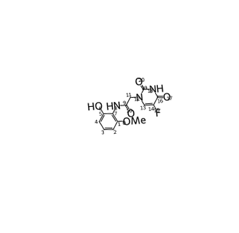 COc1cccc(O)c1NC(=O)Cn1cc(F)c(=O)[nH]c1=O